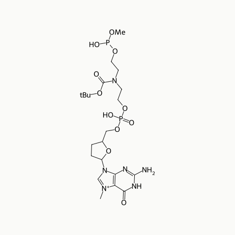 COP(O)OCCN(CCOP(=O)(O)OCC1CCC(n2c[n+](C)c3c(=O)[nH]c(N)nc32)O1)C(=O)OC(C)(C)C